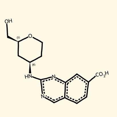 O=C(O)c1ccc2cnc(N[C@@H]3CCO[C@H](CO)C3)nc2c1